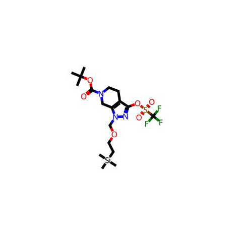 CC(C)(C)OC(=O)N1CCc2c(OS(=O)(=O)C(F)(F)F)nn(COCC[Si](C)(C)C)c2C1